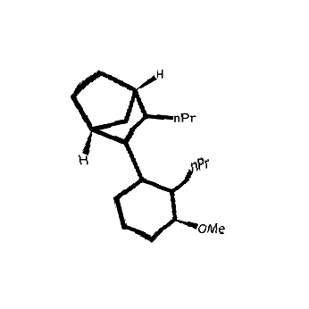 CCCC1C(C2CCC[C@H](OC)C2CCC)[C@@H]2CC[C@H]1C2